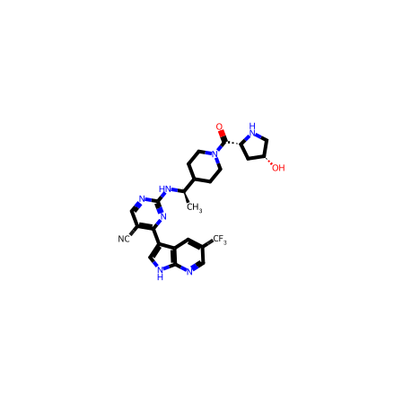 C[C@@H](Nc1ncc(C#N)c(-c2c[nH]c3ncc(C(F)(F)F)cc23)n1)C1CCN(C(=O)[C@H]2C[C@@H](O)CN2)CC1